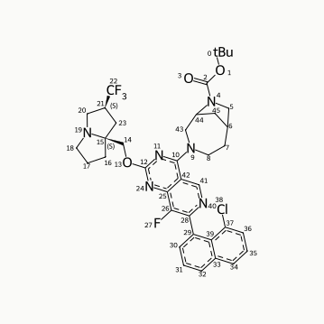 CC(C)(C)OC(=O)N1CC2CCN(c3nc(OC[C@@]45CCCN4C[C@@H](C(F)(F)F)C5)nc4c(F)c(-c5cccc6cccc(Cl)c56)ncc34)CC1C2